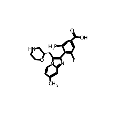 Cc1ccn2c(C[C@H]3CNCCO3)c(-c3c(F)cc(C(=O)O)cc3P)nc2c1